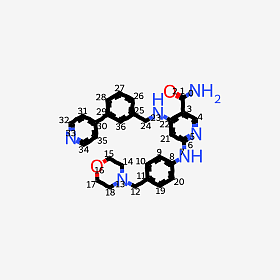 NC(=O)c1cnc(Nc2ccc(CN3CCOCC3)cc2)cc1NCc1cccc(-c2ccncc2)c1